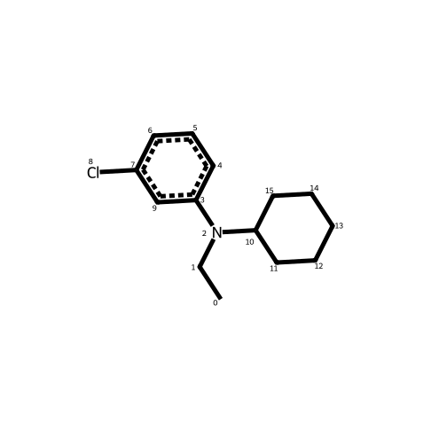 CCN(c1cccc(Cl)c1)C1CCCCC1